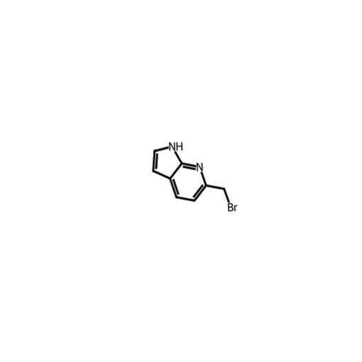 BrCc1ccc2cc[nH]c2n1